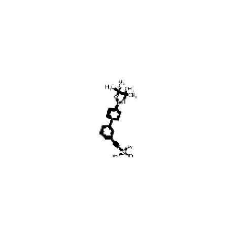 CC(C)[Si](C#Cc1cc[c]c(-c2ccc(B3OC(C)(C)C(C)(C)O3)cc2)c1)(C(C)C)C(C)C